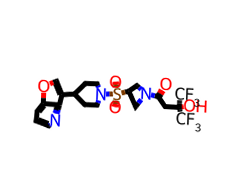 O=C(CC(O)(C(F)(F)F)C(F)(F)F)N1CC(S(=O)(=O)N2CCC(c3coc4cccnc34)CC2)C1